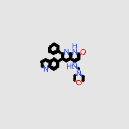 O=c1cc(NCN2CCOCC2)c2cc(-c3ccc4ncccc4c3)c(-c3ccccc3)nc2[nH]1